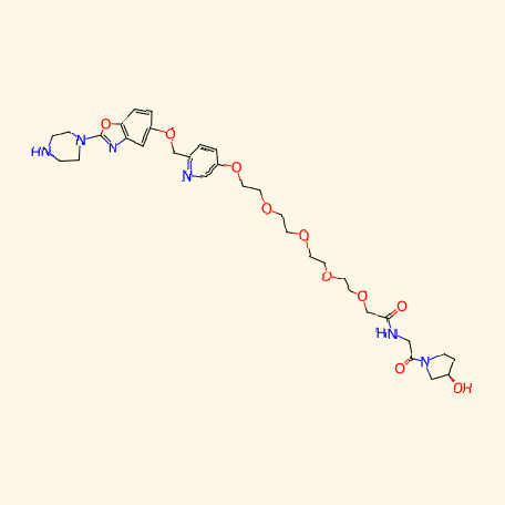 O=C(COCCOCCOCCOCCOc1ccc(COc2ccc3oc(N4CCNCC4)nc3c2)nc1)NCC(=O)N1CC[C@@H](O)C1